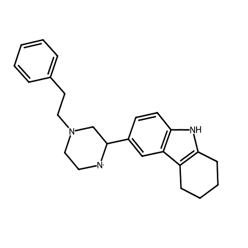 c1ccc(CCN2CC[N]C(c3ccc4[nH]c5c(c4c3)CCCC5)C2)cc1